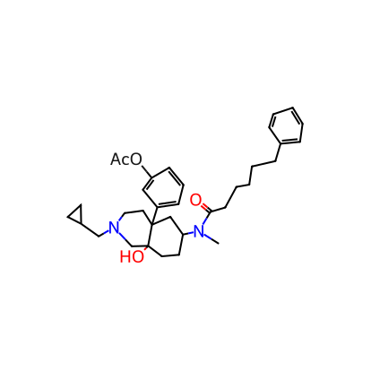 CC(=O)Oc1cccc(C23CCN(CC4CC4)CC2(O)CCC(N(C)C(=O)CCCCCc2ccccc2)C3)c1